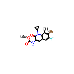 Cc1c(Br)c(F)cc2cc(NC(=O)OC(C)(C)C)c(=O)n(C3CC3)c12